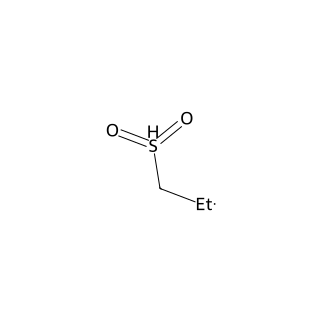 C[CH]C[SH](=O)=O